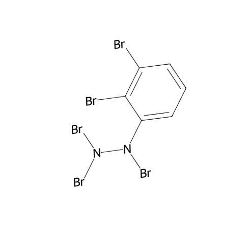 Brc1cccc(N(Br)N(Br)Br)c1Br